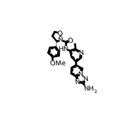 COc1ccc([C@@H]2CCON2C(=O)Nc2cc(-c3ccc4nc(N)nn4c3)cnc2C)cc1